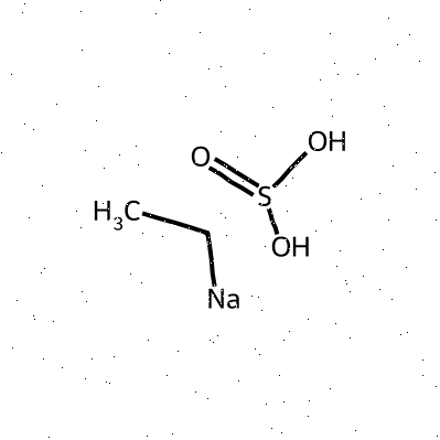 C[CH2][Na].O=S(O)O